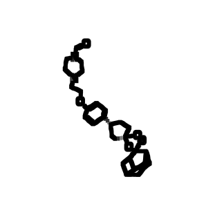 O=CN1CCN(CCOc2ccc([C@H]3CC[C@]4(CC3)OO[C@]3(O4)C4CC5CC(C4)CC3C5)cc2)CC1